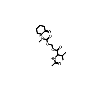 CC(=O)NC(C(=O)OCOC(=O)N(C)[C@@H]1CCCCC1=O)C(C)C